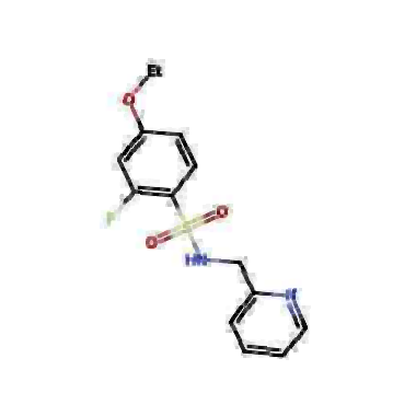 CCOc1ccc(S(=O)(=O)NCc2ccccn2)c(F)c1